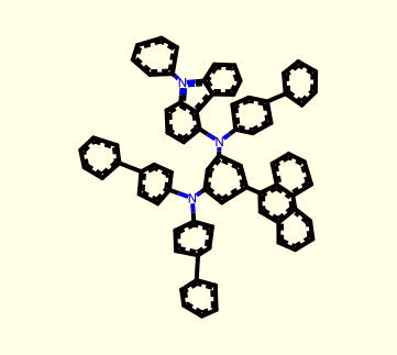 c1ccc(-c2ccc(N(c3ccc(-c4ccccc4)cc3)c3cc(-c4cc5ccccc5c5ccccc45)cc(N(c4ccc(-c5ccccc5)cc4)c4cccc5c4c4ccccc4n5-c4ccccc4)c3)cc2)cc1